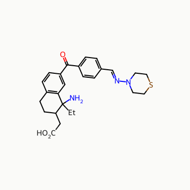 CCC1(N)c2cc(C(=O)c3ccc(C=NN4CCSCC4)cc3)ccc2CCC1CC(=O)O